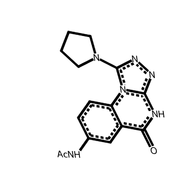 CC(=O)Nc1ccc2c(c1)c(=O)[nH]c1nnc(N3CCCC3)n12